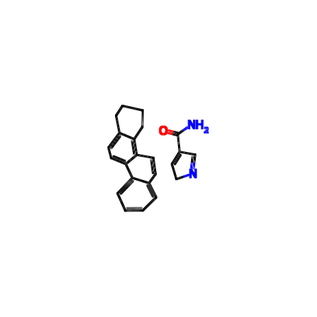 NC(=O)C1=CCN=C1.c1ccc2c(c1)ccc1c3c(ccc12)CCCC3